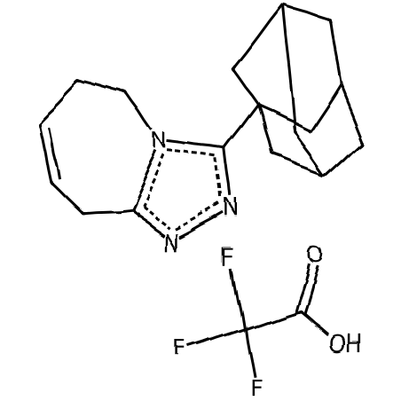 C1=CCc2nnc(C34CC5CC(CC(C5)C3)C4)n2CC1.O=C(O)C(F)(F)F